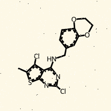 Cc1sc2nc(Cl)nc(NCc3ccc4c(c3)OCCO4)c2c1Cl